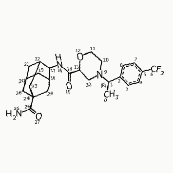 C[C@H](c1ccc(C(F)(F)F)cc1)N1CCOC(C(=O)NC2C3CC4CC2CC(C(N)=O)(C4)C3)C1